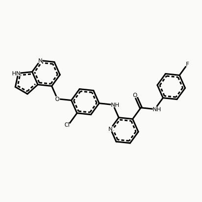 O=C(Nc1ccc(F)cc1)c1cccnc1Nc1ccc(Oc2ccnc3[nH]ccc23)c(Cl)c1